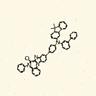 CC1(C)c2ccccc2-c2cc(N(c3ccc(-c4ccc5c(c4)nc4c(=O)n(-c6ccccc6)c6ccccc6n45)cc3)c3cccc(-c4ccccc4)c3)ccc21